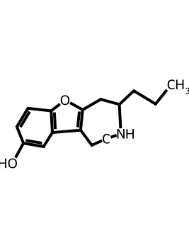 CCCC1Cc2oc3ccc(O)cc3c2CCN1